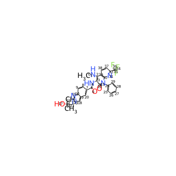 CNc1c(NC(=O)c2ccc3nn(CC(C)(C)O)cc3c2)c(=O)n(-c2ccccc2)c2nc(C(F)(F)F)ccc12